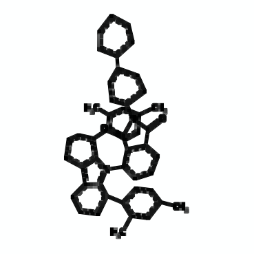 Cc1ccc(-c2cccc3c4cccc(-c5ccc(C)cc5C)c4n(-c4cccc5c4C(=O)N(c4ccc(-c6ccccc6)cc4)C5=O)c23)c(C)c1